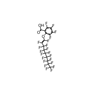 O=C(O)c1c(F)c(F)c(F)c(F)c1OC(F)=C(F)C(F)(F)C(F)(F)C(F)(F)C(F)(F)C(F)(F)C(F)(F)C(F)(F)F